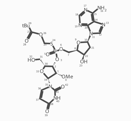 CO[C@H]1[C@@H](OP(=O)(OC[C@H]2O[C@@H](n3cnc4c(N)ncnc43)C[C@H]2O)SCOC(=O)C(C)(C)C)[C@@H](CO)O[C@H]1n1ccc(=O)[nH]c1=O